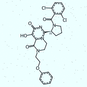 O=C1c2c(O)c(=O)nc([C@@H]3CCCN3C(=O)c3c(Cl)cccc3Cl)n2CCN1CCOc1ccccc1